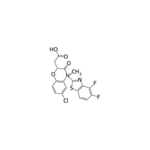 C[N+]1(c2nc3c(F)c(F)ccc3s2)C(=O)C(CC(=O)O)Oc2ccc(Cl)cc21